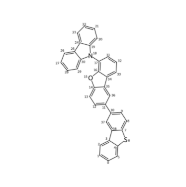 c1ccc2c(c1)sc1ccc(-c3ccc4oc5c(-n6c7ccccc7c7ccccc76)cccc5c4c3)cc12